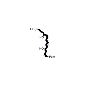 CCCCC/C=C\C[C@H](O)/C=C/C=C/C=C\[C@@H](O)CCCC(=O)O